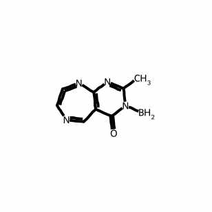 Bn1c(C)nc2c(c1=O)C=NC=C=N2